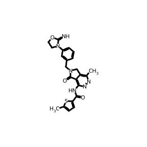 Cc1ccc(C(=O)Nc2nnc(C)c3c2C(=O)N(Cc2cccc(N4CCOC4=N)c2)C3)s1